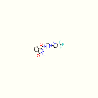 CCn1nc(C(=O)N2CCN(c3ccc(C(F)(F)F)cn3)CC2)c2ccccc2c1=O